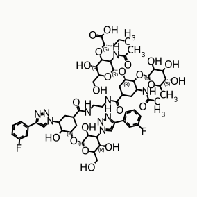 CCC[C@H](OC1C(NC(C)=O)[C@H](O[C@@H]2CC(C(=O)NCCNC(=O)C3CC(n4cc(-c5cccc(F)c5)nn4)C(O)[C@H](O[C@@H]4OC(CO)[C@H](O)C(n5cc(-c6cccc(F)c6)nn5)C4O)C3)CC(NC(C)=O)C2O[C@@H]2OC(C)[C@@H](O)C(O)C2O)OC(CO)[C@@H]1O)C(=O)O